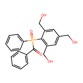 O=C(c1ccccc1)P(=O)(c1ccccc1)c1c(CO)cc(CO)cc1CO